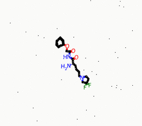 N[C@@H](CCCCN1CCC(F)(F)C1)C(=O)NC(=O)COc1ccccc1